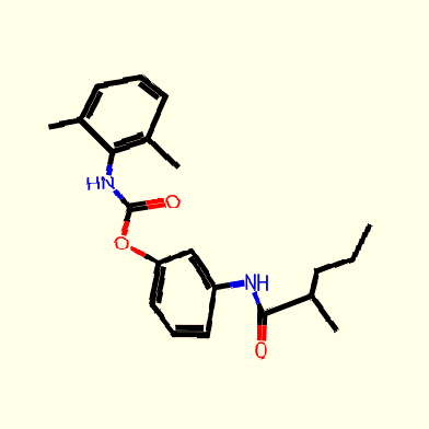 CCCC(C)C(=O)Nc1cccc(OC(=O)Nc2c(C)cccc2C)c1